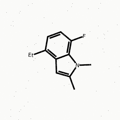 CCc1ccc(F)c2c1cc(C)n2C